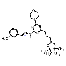 Cc1cccc(/C=N/Nc2nc(CCCB3OC(C)(C)C(C)(C)O3)cc(N3CCOCC3)n2)c1